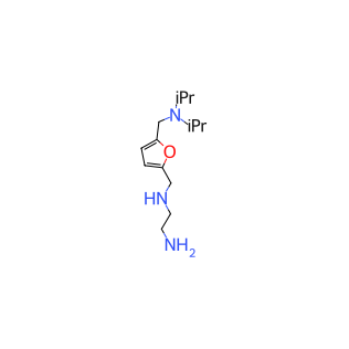 CC(C)N(Cc1ccc(CNCCN)o1)C(C)C